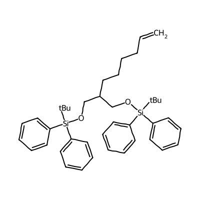 C=CCCCCC(CO[Si](c1ccccc1)(c1ccccc1)C(C)(C)C)CO[Si](c1ccccc1)(c1ccccc1)C(C)(C)C